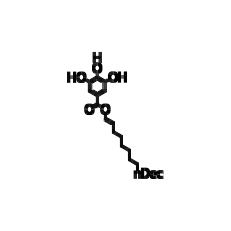 CCCCCCCCCCCCCCCCC=COC(=O)c1cc(O)c(O)c(O)c1